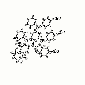 CC(C)(C)c1ccc(N(c2ccccc2)c2cc3c4c(c2)N(c2ccc(C(C)(C)C)cc2)c2c(sc5ccc(C(C)(C)C)cc25)B4c2cc4c(cc2N3c2ccccc2C(C)(C)C)C(C)(C)CCC4(C)C)cc1